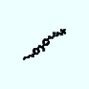 CCCCOc1ccc(OC(=O)c2ccc(OCCC[SiH2]OC(C)(C)C)cc2)cc1